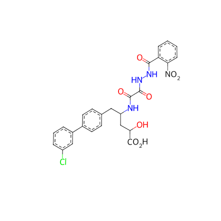 O=C(NNC(=O)c1ccccc1[N+](=O)[O-])C(=O)NC(Cc1ccc(-c2cccc(Cl)c2)cc1)CC(O)C(=O)O